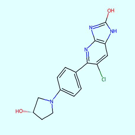 Oc1nc2nc(-c3ccc(N4CC[C@H](O)C4)cc3)c(Cl)cc2[nH]1